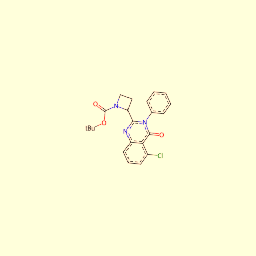 CC(C)(C)OC(=O)N1CCC1c1nc2cccc(Cl)c2c(=O)n1-c1ccccc1